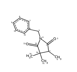 CC1C(=O)N(Cc2ccccc2)C(=O)C1(C)C